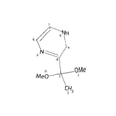 COC(C)(OC)C1=NC=[C]NC1